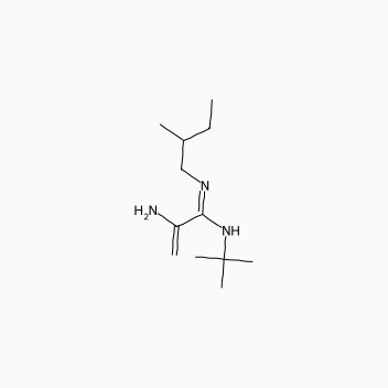 C=C(N)/C(=N\CC(C)CC)NC(C)(C)C